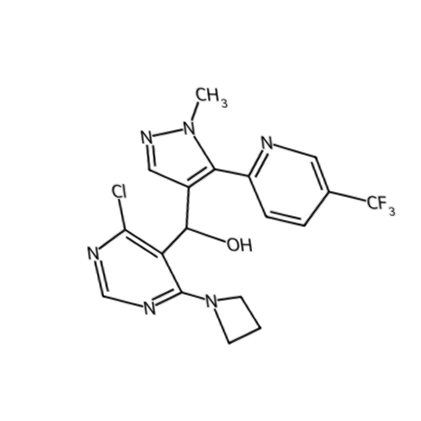 Cn1ncc(C(O)c2c(Cl)ncnc2N2CCC2)c1-c1ccc(C(F)(F)F)cn1